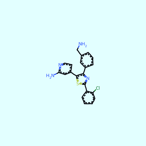 NCc1cccc(-c2nc(-c3ccccc3Cl)sc2-c2ccnc(N)c2)c1